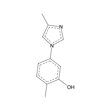 Cc1cn(-c2ccc(C)c(O)c2)cn1